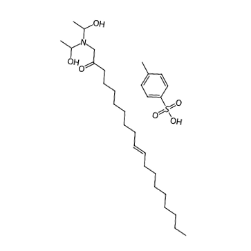 CCCCCCCCC=CCCCCCCCC(=O)CN(C(C)O)C(C)O.Cc1ccc(S(=O)(=O)O)cc1